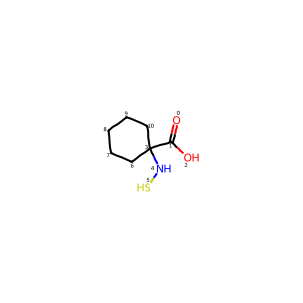 O=C(O)C1(NS)CCCCC1